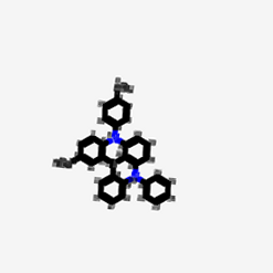 CCCCc1ccc(N2c3ccc(CCCC)cc3B3c4ccccc4N(c4ccccc4)c4cccc2c43)cc1